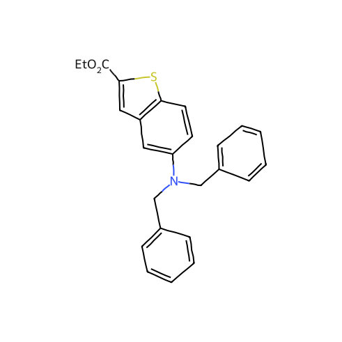 CCOC(=O)c1cc2cc(N(Cc3ccccc3)Cc3ccccc3)ccc2s1